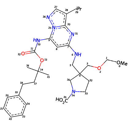 COCOCC1(CNc2cc(NC(=O)OC(C)(C)CCc3ccccc3)n3ncc(C(C)C)c3n2)CCN(C(=O)O)C1